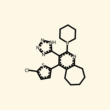 Clc1ccc(-c2c3c(nc(N4CCCCC4)c2-c2nnn[nH]2)CCCCC3)s1